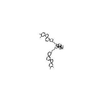 Cc1ccc(Oc2cccc(OCCCC[Si](C)(CCCCOc3cccc(Oc4ccc(C)c(C)c4)c3)O[Si](C)(C)C)c2)cc1C